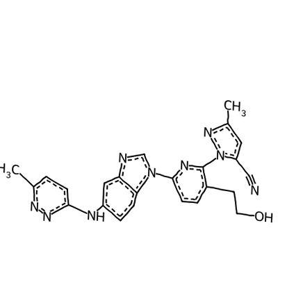 Cc1ccc(Nc2ccc3c(c2)ncn3-c2ccc(CCO)c(-n3nc(C)cc3C#N)n2)nn1